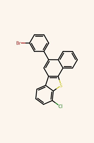 Clc1cccc2c1sc1c3ccccc3c(-c3cccc(Br)c3)cc21